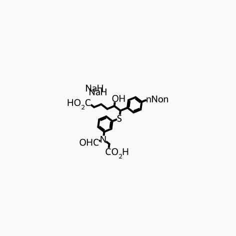 CCCCCCCCCc1ccc(C(Sc2cccc(N(C=O)CC(=O)O)c2)C(O)CCCC(=O)O)cc1.[NaH].[NaH]